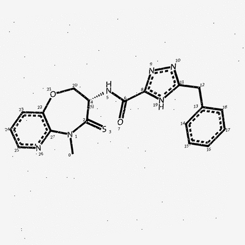 CN1C(=S)[C@@H](NC(=O)c2nnc(Cc3ccccc3)[nH]2)COc2cccnc21